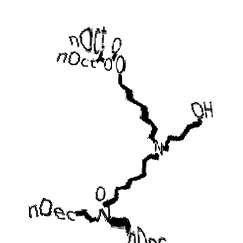 CCCCCCCCCCCCN(CCCCCCCCCCCC)C(=O)CCCCCCCN(CCCCCO)CCCCCCCOC(=O)OC(CCCCCCCC)CCCCCCCC